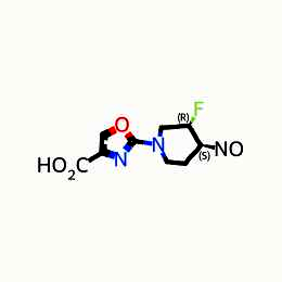 O=N[C@H]1CCN(c2nc(C(=O)O)co2)C[C@H]1F